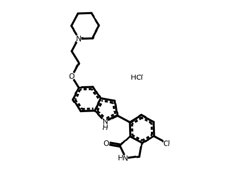 Cl.O=C1NCc2c(Cl)ccc(-c3cc4cc(OCCN5CCCCC5)ccc4[nH]3)c21